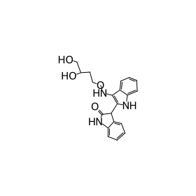 O=C1Nc2ccccc2C1c1[nH]c2ccccc2c1NOCCC(O)CO